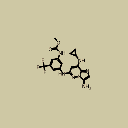 COC(=O)Nc1cc(Nc2cc(NC3CC3)c3ncc(N)n3n2)cc(C(F)(F)F)c1